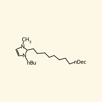 CCCCCCCCCCCCCCCCCCC1N(C)C=CN1CCCC